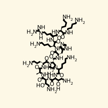 C[C@H](NC(=O)[C@@H](NC(=O)[C@@H](NC(=O)C(N)CCCCN)[C@@H](O)CN)[C@@H](O)CN)C(=O)N[C@H](CCCN)C(=O)N1CCC[C@H]1C(=O)N[C@@H](Cc1cnc[nH]1)C(=O)N[C@@H](CCCCN)C(=O)N/C(=C\CCNC(=N)N)C(=O)N[C@@H](CCCCN)C(=O)NCCCCN